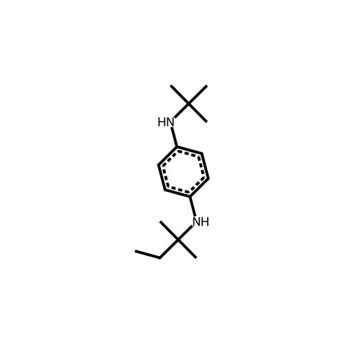 CCC(C)(C)Nc1ccc(NC(C)(C)C)cc1